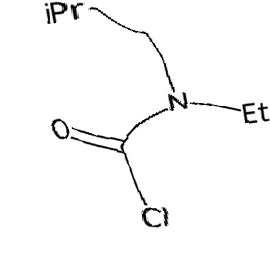 CCN(CC(C)C)C(=O)Cl